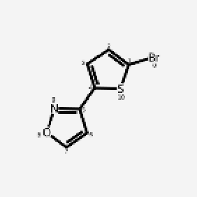 Brc1ccc(-c2ccon2)s1